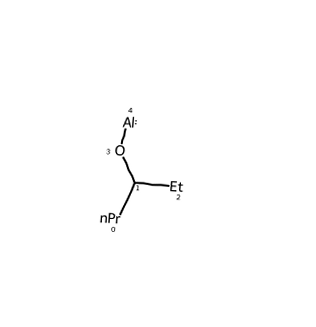 CCCC(CC)[O][Al]